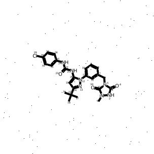 Cn1[nH]c(=O)n(Cc2cccc(-n3nc(C(C)(C)C)cc3NC(=O)Nc3ccc(Cl)cc3)c2)c1=O